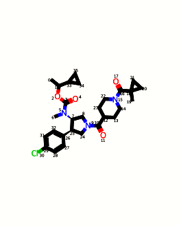 CC(OC(=O)N(C)[C@@H]1CN(C(=O)C2CCN(C(=O)C3(C)CC3)CC2)C[C@H]1c1ccc(Cl)cc1)C1CC1